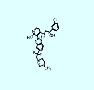 CN1CCN(CC(F)(F)c2ccc3[nH]c(-c4c(NC[C@H](O)c5cccc(Cl)c5)ccnc4O)nc3c2)CC1